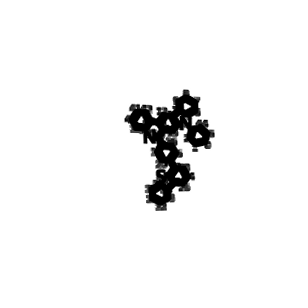 c1ccc(-n2c3ccccc3c3cc4c(cc32)c(-c2ccc(-c3cccc5c3sc3ccccc35)cc2)nc2ccccc24)cc1